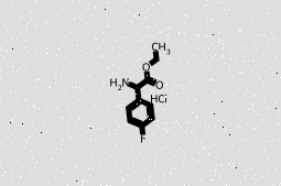 CCOC(=O)C(N)c1ccc(F)cc1.Cl